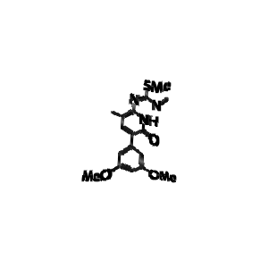 C=N/C(=N\c1[nH]c(=O)c(-c2cc(OC)cc(OC)c2)cc1C)SC